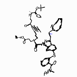 CNC(=O)c1ccccc1Sc1ccc2c(/C=C/c3ccccn3)nn(C(=O)N(CCNC(=O)CC[C@H](C)C(=O)OC(C)(C)C)CCC(=O)O)c2c1